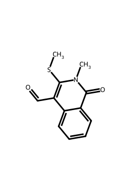 CSc1c(C=O)c2ccccc2c(=O)n1C